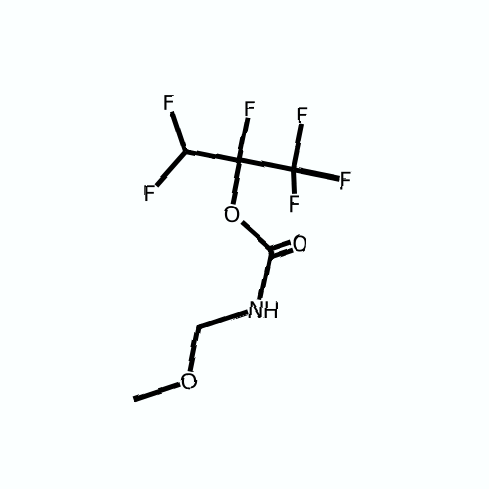 COCNC(=O)OC(F)(C(F)F)C(F)(F)F